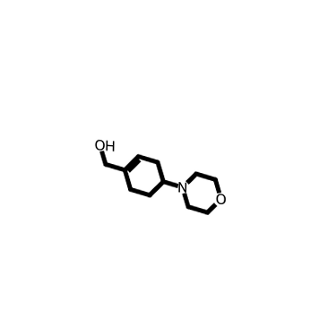 OCC1=CCC(N2CCOCC2)CC1